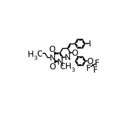 CCCn1c(=O)c2c(n(C)c1=O)N=C(Oc1cccc(OC(F)(F)F)c1)/C(=C\c1ccc(I)cc1)C2